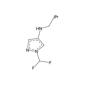 CC(C)CNc1cnn(C(F)F)c1